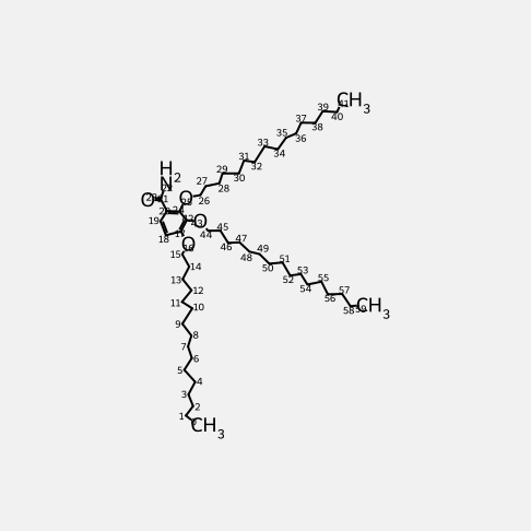 CCCCCCCCCCCCCCCCOc1ccc(C(N)=O)c(OCCCCCCCCCCCCCCCC)c1OCCCCCCCCCCCCCCCC